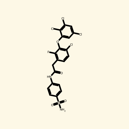 NS(=O)(=O)c1ccc(NC(=O)Cc2ccc(Cl)c(Oc3cc(Cl)cc(Cl)c3Cl)c2F)cc1